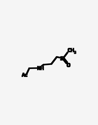 CC(=O)CNCCC[Si](C)=O